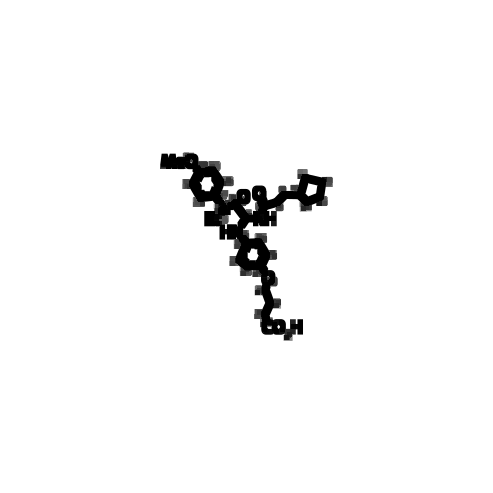 CCN(C(=O)C(NC(=O)CCC1CCCC1)Nc1ccc(OCCCC(=O)O)cc1)c1ccc(OC)cc1